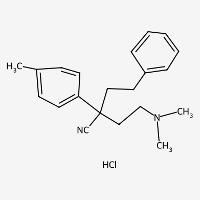 Cc1ccc(C(C#N)(CCc2ccccc2)CCN(C)C)cc1.Cl